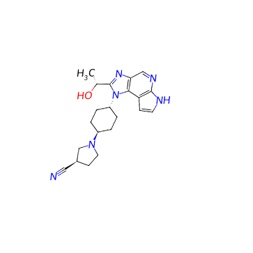 C[C@@H](O)c1nc2cnc3[nH]ccc3c2n1[C@H]1CC[C@H](N2CC[C@@H](C#N)C2)CC1